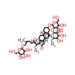 CC1O[C@@H](O[C@H]2C(O)[C@H](O)C(CO)O[C@H]2OC2CC[C@@]3(C)C(=CC[C@H]4[C@@H]5CC(=O)[C@H]([C@H](C)C(=O)CC[C@@H](C)CO[C@@H]6OC(CO)[C@@H](O)C(O)[C@@H]6O)[C@@]5(C)CC[C@@H]43)C2)[C@@H](O)C(O)[C@H]1O